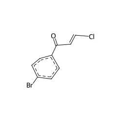 O=C(C=CCl)c1ccc(Br)cc1